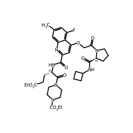 CCOC(=O)CC[C@H](NC(=O)c1cc(OCC(=O)N2CCC[C@H]2C(=O)NC2CCC2)c2c(F)cc(C)cc2n1)C(=O)N1CCN(C(=O)OCC)CC1